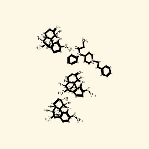 CCC(=O)N(c1ccccc1)C1CCN(CCc2ccccc2)CC1.COc1ccc2c3c1O[C@H]1C(=O)CC[C@H]4[C@@H](C2)N(C)CC[C@]314.COc1ccc2c3c1O[C@H]1C(=O)CC[C@H]4[C@@H](C2)N(C)CC[C@]314.COc1ccc2c3c1O[C@H]1[C@@H](O)C=C[C@H]4[C@@H](C2)N(C)CC[C@@]341